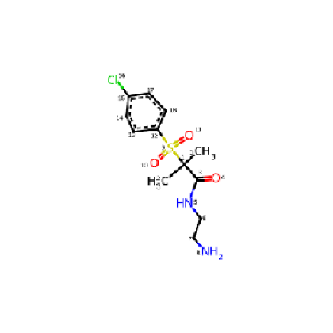 CC(C)(C(=O)NCCN)S(=O)(=O)c1ccc(Cl)cc1